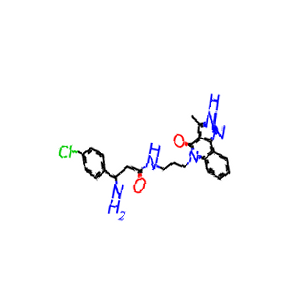 Cc1[nH]nc2c1c(=O)n(CCCNC(=O)CC(N)c1ccc(Cl)cc1)c1ccccc21